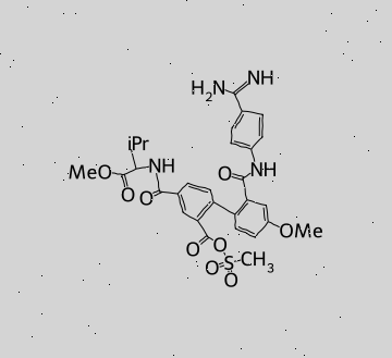 COC(=O)C(NC(=O)c1ccc(-c2ccc(OC)cc2C(=O)Nc2ccc(C(=N)N)cc2)c(C(=O)OS(C)(=O)=O)c1)C(C)C